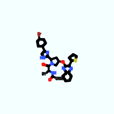 COC(=O)NC(C(=O)N1CC(Oc2nc3ccccc3nc2-c2cccs2)CC1c1nc(-c2ccc(Br)cc2)c[nH]1)C(C)C